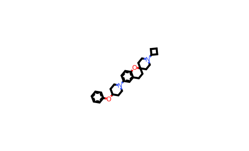 c1ccc(OC2CCN(c3ccc4c(c3)CCC3(CCN(C5CCC5)CC3)O4)CC2)cc1